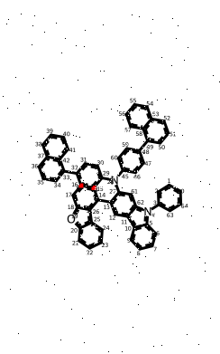 c1ccc(-n2c3ccccc3c3cc(-c4cccc5oc6ccccc6c45)c(N(c4ccc(-c5cccc6ccccc56)cc4)c4ccc(-c5cccc6ccccc56)cc4)cc32)cc1